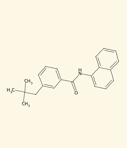 CC(C)(C)Cc1cccc(C(=O)Nc2cccc3ccccc23)c1